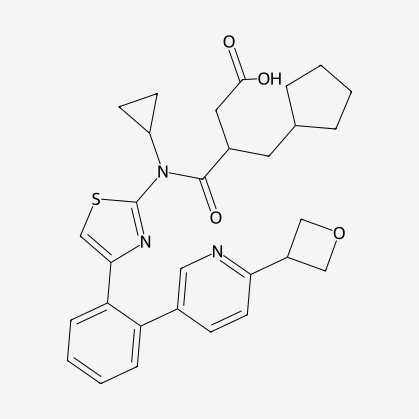 O=C(O)CC(CC1CCCC1)C(=O)N(c1nc(-c2ccccc2-c2ccc(C3COC3)nc2)cs1)C1CC1